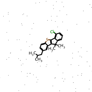 CC(C)Cc1ccc2sc3c(c2c1)C(C)(C)c1cccc(Cl)c1-3